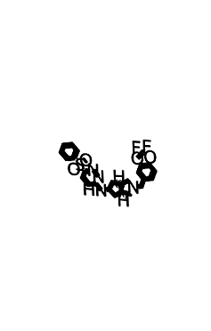 O=S(=O)(c1ccccc1)c1ccc(NC2C[C@@H]3CN(Cc4ccc5c(c4)OC(F)(F)O5)C[C@@H]3C2)nn1